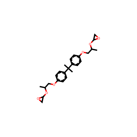 CC(COc1ccc(C(C)(C)c2ccc(OCC(C)OC3CO3)cc2)cc1)OC1CO1